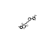 COc1cncc(C2=CCCN(CCCCN3C(=O)c4cc(C)ccc4OC=C3Cl)C2)n1